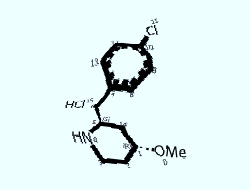 CO[C@@H]1CCN[C@@H](Cc2ccc(Cl)cc2)C1.Cl